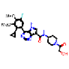 COc1c(F)cc(-c2ncnc3c(C(=O)NC4CCN(C(=O)CO)CC4)c[nH]c23)c(C2CC2)c1OC